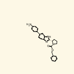 Nc1ccc(-c2ccc3nc([C@@H]4CCCN4C(=O)OCc4ccccc4)[nH]c3c2)cc1